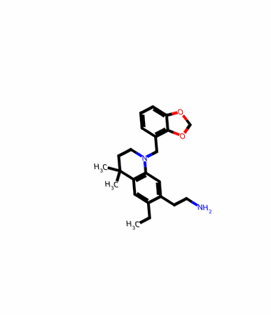 CCc1cc2c(cc1CCN)N(Cc1cccc3c1OCO3)CCC2(C)C